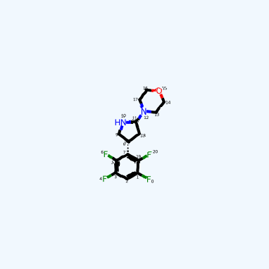 Fc1cc(F)c(F)c([C@@H]2CN[C](N3CCOCC3)C2)c1F